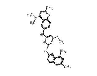 CSC1=NN(Nc2ccc3nc(C)cc(N)c3c2)NC(Nc2ccc3nc(C)cc(N(C)C)c3c2)=C1